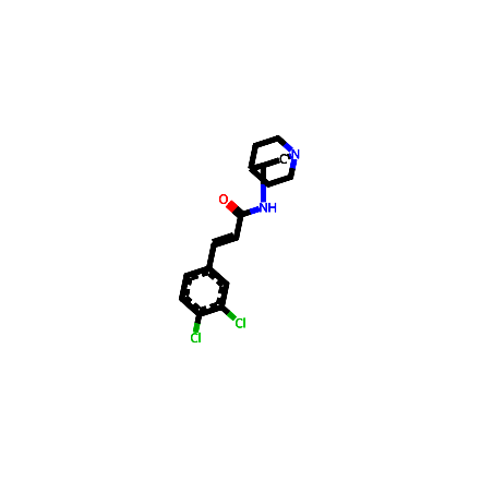 O=C(/C=C/c1ccc(Cl)c(Cl)c1)NC1CN2CCC1CC2